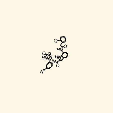 N#Cc1ccc(NC(=O)c2cc3cccc(NC(=O)Cc4ccccc4Cl)c3[nH]2)c(-c2noc(=O)[nH]2)c1